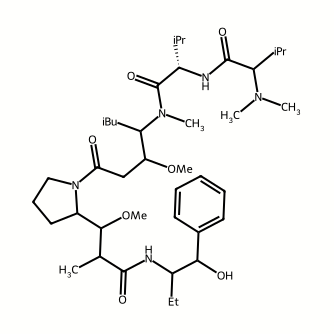 CCC(C)C(C(CC(=O)N1CCCC1C(OC)C(C)C(=O)NC(CC)C(O)c1ccccc1)OC)N(C)C(=O)[C@@H](NC(=O)C(C(C)C)N(C)C)C(C)C